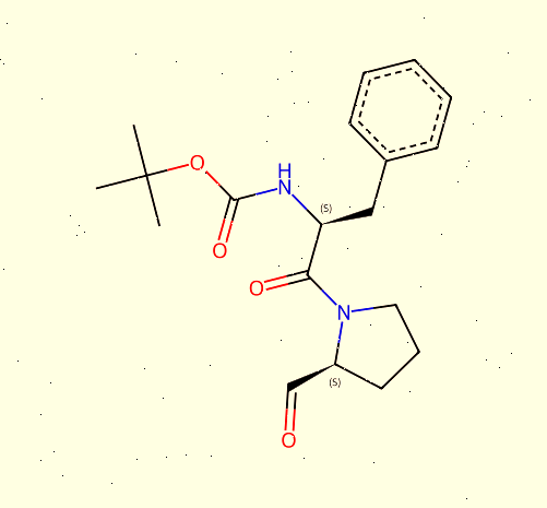 CC(C)(C)OC(=O)N[C@@H](Cc1ccccc1)C(=O)N1CCC[C@H]1C=O